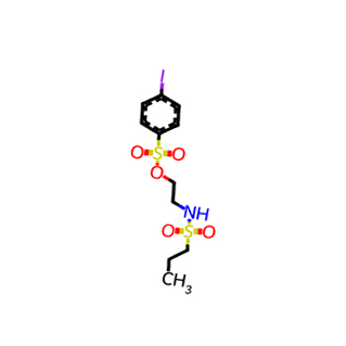 CCCS(=O)(=O)NCCOS(=O)(=O)c1ccc(I)cc1